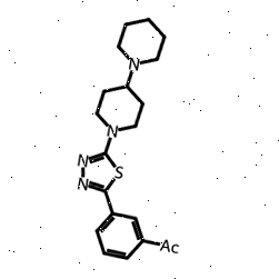 CC(=O)c1cccc(-c2nnc(N3CCC(N4CCCCC4)CC3)s2)c1